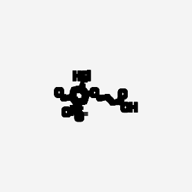 Cl.O=Cc1cc(F)c(OCCCC(=O)O)cc1[N+](=O)[O-]